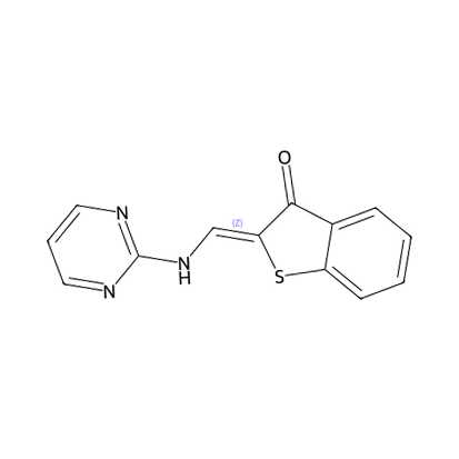 O=C1/C(=C/Nc2ncccn2)Sc2ccccc21